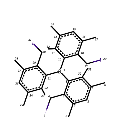 Cc1cc(C)c(CI)c(B(c2c(C)c(C)cc(C)c2CI)c2c(C)c(C)cc(C)c2CI)c1C